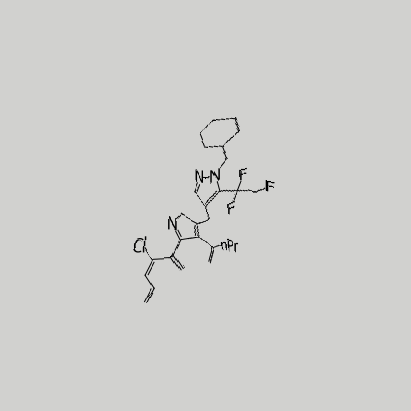 C=C/C=C(/Cl)C(=C)C1=NCC(Cc2cnn(CC3CCCCC3)c2C(F)(F)CF)=C1C(=C)CCC